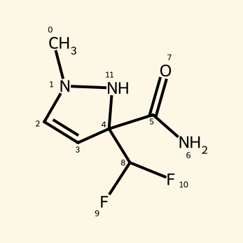 CN1C=CC(C(N)=O)(C(F)F)N1